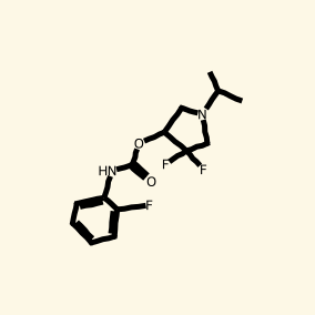 CC(C)N1CC(OC(=O)Nc2ccccc2F)C(F)(F)C1